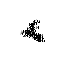 CC(C)(C)OC(=O)NCCC[C@H](NC(=O)O)C(=O)O[C@H]1C[C@@]2(C)C3C[C@H](O)[C@H]4C(C)(C)[C@@H](O)CC[C@@]45CC35CC[C@]2(C)[C@H]1C1CC[C@@H](C(C)(C)O)O1